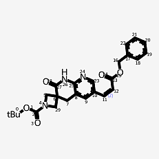 CC(C)(C)OC(=O)N1CC2(Cc3cc(/C=C\C(=O)OCc4ccccc4)cnc3NC2=O)C1